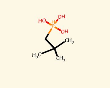 CC(C)(C)C[PH](O)(O)O